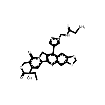 CC[C@@]1(O)C(=O)OCc2c1cc1n(c2=O)Cc2c-1nc1cc3c(cc1c2-c1cnn(CNC(=O)CN)c1)OCO3